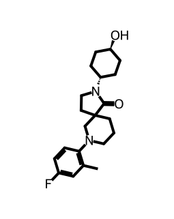 Cc1cc(F)ccc1N1CCCC2(CCN([C@H]3CC[C@H](O)CC3)C2=O)C1